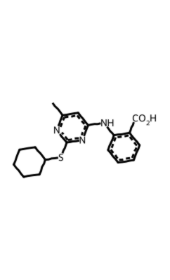 Cc1cc(Nc2ccccc2C(=O)O)nc(SC2CCCCC2)n1